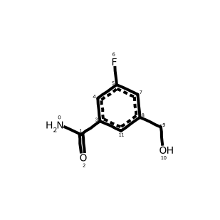 NC(=O)c1cc(F)cc([CH]O)c1